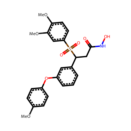 COc1ccc(Oc2cccc(C(CC(=O)NO)S(=O)(=O)c3ccc(OC)c(OC)c3)c2)cc1